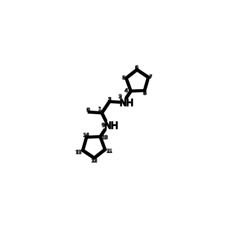 CC(CNC1CCCC1)NC1CCCC1